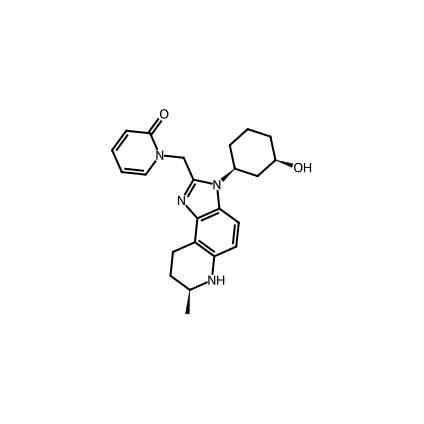 C[C@H]1CCc2c(ccc3c2nc(Cn2ccccc2=O)n3[C@H]2CCC[C@@H](O)C2)N1